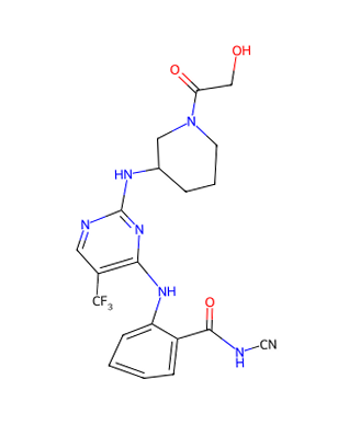 N#CNC(=O)c1ccccc1Nc1nc(NC2CCCN(C(=O)CO)C2)ncc1C(F)(F)F